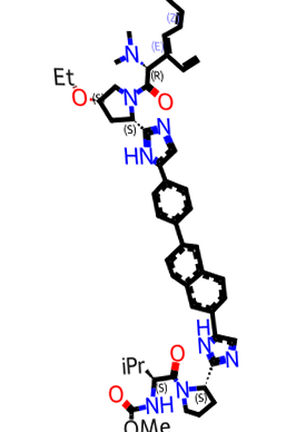 C=C/C(=C\C=C/C)[C@H](C(=O)N1C[C@@H](OCC)C[C@H]1c1ncc(-c2ccc(-c3ccc4cc(-c5cnc([C@@H]6CCCN6C(=O)[C@@H](NC(=O)OC)C(C)C)[nH]5)ccc4c3)cc2)[nH]1)N(C)C